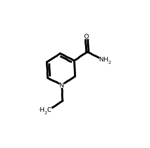 [CH2]CN1C=CC=C(C(N)=O)C1